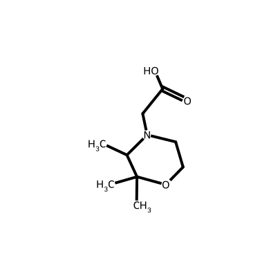 CC1N(CC(=O)O)CCOC1(C)C